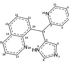 c1ccc(C(c2cnc[nH]2)c2cccc3cccnc23)nc1